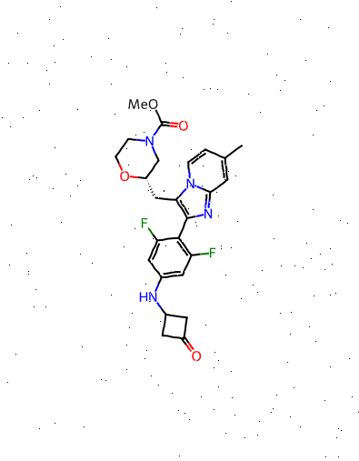 COC(=O)N1CCO[C@@H](Cc2c(-c3c(F)cc(NC4CC(=O)C4)cc3F)nc3cc(C)ccn23)C1